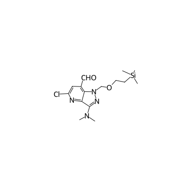 CN(C)c1nn(COCC[Si](C)(C)C)c2c(C=O)cc(Cl)nc12